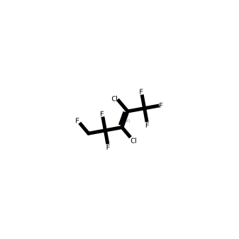 FCC(F)(F)/C(Cl)=C(\Cl)C(F)(F)F